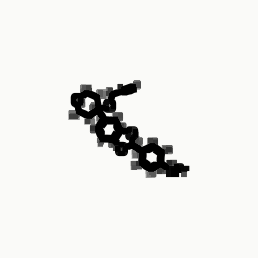 C#CCOC1(c2ccc3c(c2)OC(c2ccc(CCC)cc2)O3)CCOCC1